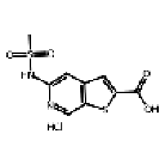 CS(=O)(=O)Nc1cc2cc(C(=O)O)sc2cn1.Cl